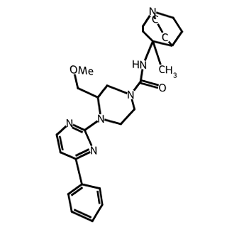 COCC1CN(C(=O)NC2(C)CCN3CCC2CC3)CCN1c1nccc(-c2ccccc2)n1